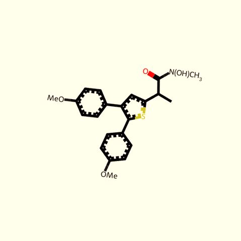 COc1ccc(-c2cc(C(C)C(=O)N(C)O)sc2-c2ccc(OC)cc2)cc1